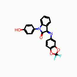 O=C1C(=Nc2ccc3c(c2)OC(F)(F)O3)c2ccccc2N1c1ccc(O)cc1